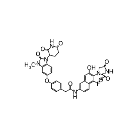 Cn1c(=O)n(C2CCC(=O)NC2=O)c2ccc(Oc3ccc(CC(=O)Nc4ccc5c(F)c(N6CC(=O)NS6(=O)=O)c(O)cc5c4)cc3)cc21